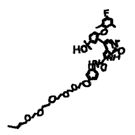 CCCCOCCOCCOCCOCCOCCOc1ccc(NC(=O)c2cc3c(-c4cc(C(C)(C)O)ccc4Oc4c(C)cc(F)cc4C)cn(C)c(=O)c3[nH]2)cc1